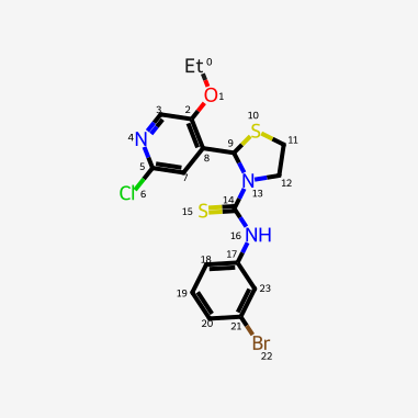 CCOc1cnc(Cl)cc1C1SCCN1C(=S)Nc1cccc(Br)c1